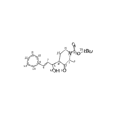 CC1C(=O)C(C(O)C=Cc2ccccc2)CCN1C(=O)OC(C)(C)C